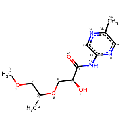 COC[C@@H](C)OC[C@H](O)C(=O)Nc1cnc(C)cn1